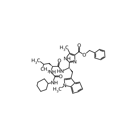 Cc1[nH]c([C@@H](Cc2cn(C)c3ccccc23)NC(=O)[C@H](CC(C)C)NC(=O)NC2CCCCC2)nc1C(=O)OCc1ccccc1